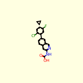 C1CC1.O=C(O)Nc1cc2ccc(-c3cc(F)ccc3Cl)cc2cn1